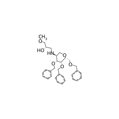 COC[C@@H](O)CN[C@H]1CO[C@H](COCc2ccccc2)[C@H](OCc2ccccc2)[C@@H]1OCc1ccccc1